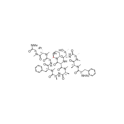 CNC(=O)[C@H](C(C)C)N(C)C(=O)[C@H](C)N(C)C(=O)[C@H](CC(C)C)NC(=O)[C@H](Cc1ccccc1)N(C)C(=O)[C@H](C)NC(=O)[C@H](C)N(C)C(=O)C(NC(=O)[C@@H](NC(=O)[C@H](C)N(C)C(=O)[C@H](C)N(C)C(=O)[C@H](Cc1ccccc1)NC(C)=O)[C@@H](C)O)C(=O)N1CCCCC1